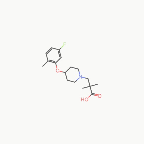 Cc1ccc(F)cc1OC1CCN(CC(C)(C)C(=O)O)CC1